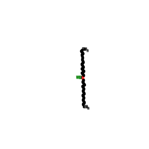 CCCCCCCCCCCCCOCCCCCCCCCCCCC.Cl